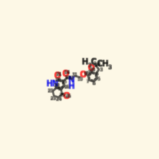 CC1(C)Cc2cccc(OCCNC(=O)c3cc4c([nH]c3=O)CCCC4=O)c2O1